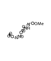 COc1ccc(CN2CCC(NC(=O)c3cc4ccc(C(=O)N5CCN(Cc6ccc(S(C)(=O)=O)cc6)CC5)cc4o3)CC2)cc1